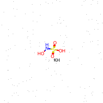 O=S(=O)(O)NO.[KH]